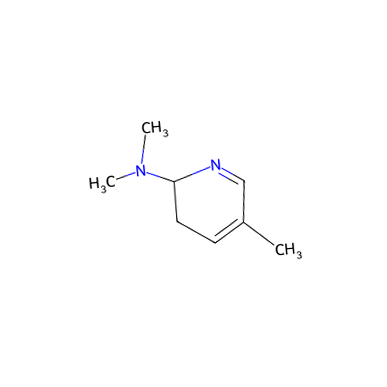 CC1=CCC(N(C)C)N=C1